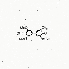 COc1cc(-c2cc(NC(C)=O)c(=O)n(C)c2)cc(OC)c1C=O